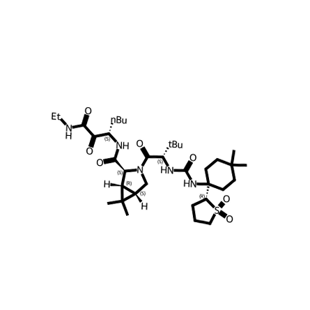 CCCC[C@H](NC(=O)[C@@H]1[C@@H]2[C@H](CN1C(=O)[C@@H](NC(=O)NC1([C@H]3CCCS3(=O)=O)CCC(C)(C)CC1)C(C)(C)C)C2(C)C)C(=O)C(=O)NCC